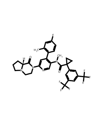 Cc1cc(F)ccc1-c1cc(N2CCN3CCC[C@@H]3C2=O)ncc1N(C)C(=O)C1(c2cc(C(F)(F)F)cc(C(F)(F)F)c2)CC1